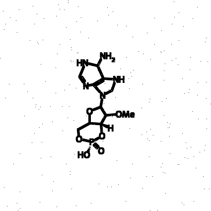 COC1C(N2CNC3=C2N=CNC3N)OC2CO[P@@](=O)(O)O[C@H]21